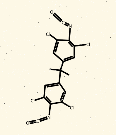 CC(C)(c1cc(Cl)c(N=C=O)c(Cl)c1)c1cc(Cl)c(N=C=O)c(Cl)c1